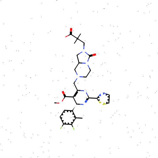 COC(=O)C1=C(CN2CCN3C(=O)N(CC(C)(C)C(=O)O)C[C@@H]3C2)NC(c2nccs2)=N[C@H]1c1ccc(F)c(F)c1C